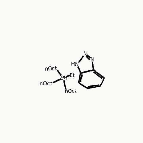 CCCCCCCC[PH](CC)(CCCCCCCC)CCCCCCCC.c1ccc2[nH]nnc2c1